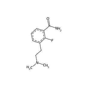 CN(C)CCc1cccc(C(N)=O)c1F